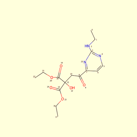 CCNc1nccc(C(=O)CC(O)(C(=O)OCC)C(=O)OCC)n1